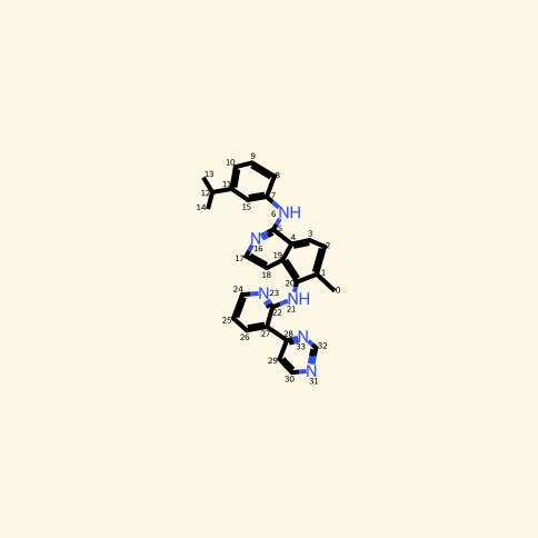 Cc1ccc2c(Nc3cccc(C(C)C)c3)nccc2c1Nc1ncccc1-c1ccncn1